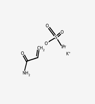 C=CC(N)=O.CC(C)S(=O)(=O)[O-].[K+]